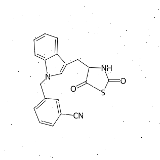 N#Cc1cccc(Cn2cc(CC3NC(=O)SC3=O)c3ccccc32)c1